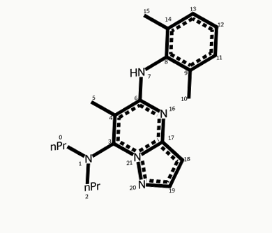 CCCN(CCC)c1c(C)c(Nc2c(C)cccc2C)nc2ccnn12